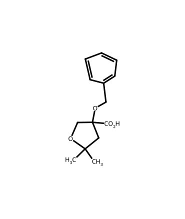 CC1(C)CC(OCc2ccccc2)(C(=O)O)CO1